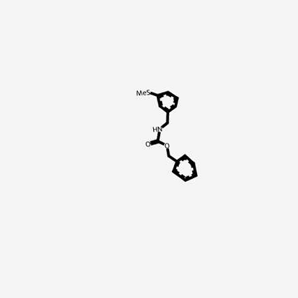 CSc1cccc(CNC(=O)OCc2ccccc2)c1